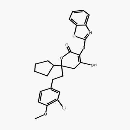 COc1ccc(CCC2(C3CCCC3)CC(O)=C(Sc3nc4ccccc4o3)C(=O)O2)cc1Cl